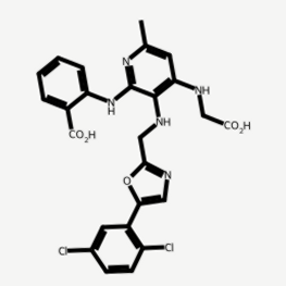 Cc1cc(NCC(=O)O)c(NCc2ncc(-c3cc(Cl)ccc3Cl)o2)c(Nc2ccccc2C(=O)O)n1